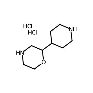 C1CC(C2CNCCO2)CCN1.Cl.Cl